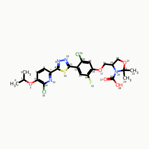 CC(C)Oc1ccc(-c2nnc(-c3cc(F)c(OCC4COC(C)(C)N4C(=O)O)cc3Cl)s2)nc1Cl